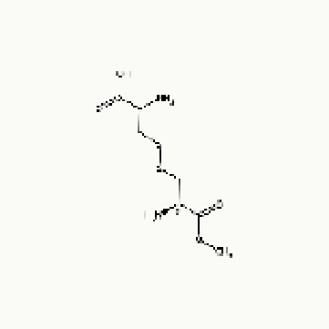 COC(=O)[C@@H](N)CSSCC(N)C(=O)O